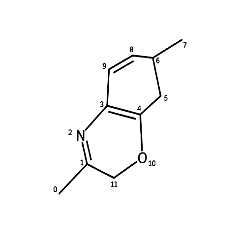 CC1=NC2=C(CC(C)C=C2)OC1